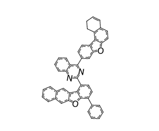 C1=Cc2ccc3oc4cc(-c5nc(-c6ccc(-c7ccccc7)c7oc8cc9ccccc9cc8c67)nc6ccccc56)ccc4c3c2CC1